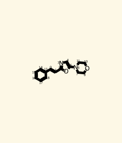 C(=Cc1ncc(N2CCOCC2)o1)c1ccccc1